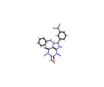 C=C(C1=C(N(C)C=O)NC(c2cccc(C(C)C)c2)N1Cc1ccccc1)N(C)CCC